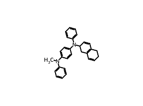 CN(c1ccccc1)c1ccc(N(c2ccccc2)C2C=CC3=C(C=CCC3)C2)cc1